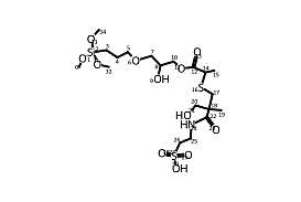 CO[Si](CCCOCC(O)COC(=O)C(C)SCC(C)(CO)C(=O)NCCS(=O)(=O)O)(OC)OC